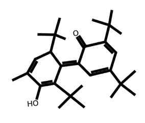 CC1=CC(C(C)(C)C)C(=C2C=C(C(C)(C)C)C=C(C(C)(C)C)C2=O)C(C(C)(C)C)=C1O